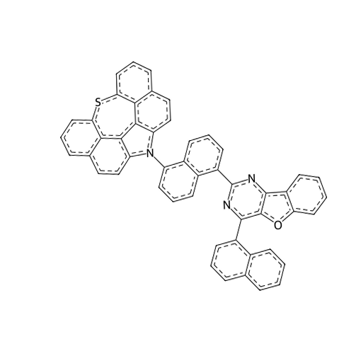 c1ccc2c(-c3nc(-c4cccc5c(-n6c7ccc8cccc9sc%10cccc%11ccc6c(c%11%10)c7c89)cccc45)nc4c3oc3ccccc34)cccc2c1